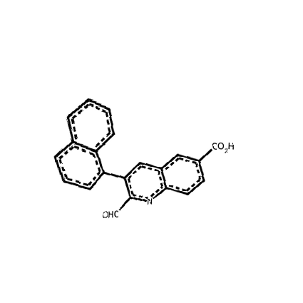 O=Cc1nc2ccc(C(=O)O)cc2cc1-c1cccc2ccccc12